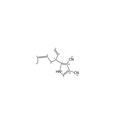 C=CC(C/C=C\C)c1[nH]cc(C#N)c1C#N